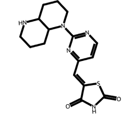 O=C1NC(=O)/C(=C/c2ccnc(N3CCCC4NCCCC43)n2)S1